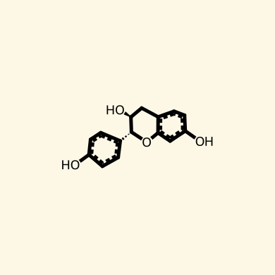 Oc1ccc([C@H]2Oc3cc(O)ccc3C[C@@H]2O)cc1